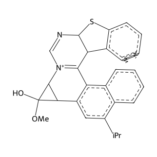 COC1(O)C2c3cc(C(C)C)c4ccccc4c3C3=[N+](C=NC4Sc5ccc6ccccc6c5C34)C21